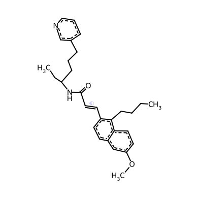 CCCCc1c(/C=C/C(=O)NC(CC)CCCc2cccnc2)ccc2cc(OC)ccc12